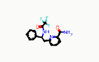 NC(=O)c1cccc(CC(NC(=O)C(F)(F)F)c2ccccc2)n1